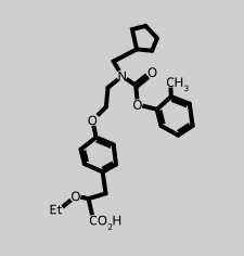 CCOC(Cc1ccc(OCCN(CC2CCCC2)C(=O)Oc2ccccc2C)cc1)C(=O)O